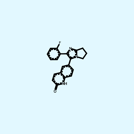 O=c1ccc2cc(-c3c(-c4ccccc4F)nc4n3CCC4)ccc2[nH]1